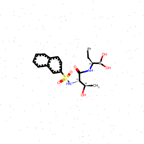 CC(C)C[C@H](NC(=O)[C@@H](NS(=O)(=O)c1ccc2ccccc2c1)[C@@H](C)O)B(O)O